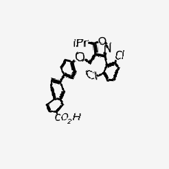 CC(C)c1onc(-c2c(Cl)cccc2Cl)c1COc1ccc(-c2ccc3ccc(C(=O)O)cc3c2)cc1